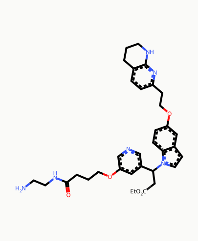 CCOC(=O)CC(c1cncc(OCCCC(=O)NCCN)c1)n1ccc2cc(OCCc3ccc4c(n3)NCCC4)ccc21